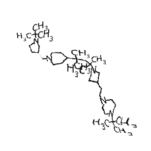 CC(C)(CC(C)(C)N1CC(CCN2CCN(C(C)(C)C)CC2)C1)C1CCN(C[C@@H]2CCN(C(C)(C)C)C2)CC1